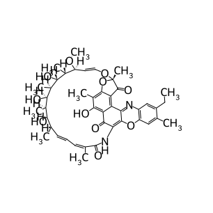 CCc1cc2nc3c4c5c6c(C)c(O)c4c(=O)c(c-3oc2cc1C)NC(=O)/C(C)=C\C=C\[C@H](C)[C@H](O)[C@@H](C)[C@@H](O)[C@@H](C)[C@H](O)[C@H](C)[C@@H](OC)/C=C/O[C@@](C)(O6)C5=O